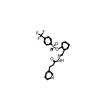 O=C(CCc1cccnc1)NN=Cc1ccccc1OS(=O)(=O)c1ccc(C(F)(F)F)cc1